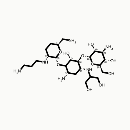 NCCCN[C@@H]1CC[C@@H](CN)O[C@@H]1OC1[C@@H](N)C[C@@H](NC(CO)CO)[C@H](O[C@H]2O[C@H](CO)[C@@H](O)[C@H](N)[C@H]2O)[C@H]1O